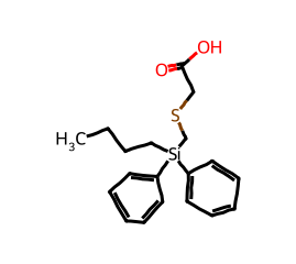 CCCC[Si](CSCC(=O)O)(c1ccccc1)c1ccccc1